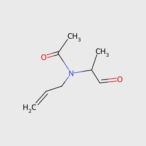 C=CCN(C(C)=O)C(C)C=O